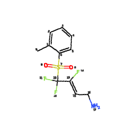 Cc1ccccc1S(=O)(=O)C(F)(F)/C(F)=C/CN